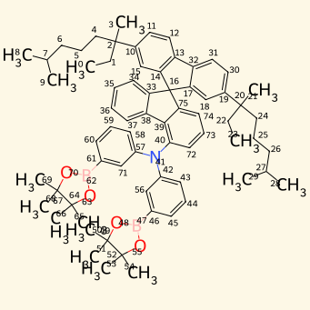 CCC(C)(CCCC(C)C)c1ccc2c(c1)C1(c3cc(C(C)(CC)CCCC(C)C)ccc3-2)c2ccccc2-c2c(N(c3cccc(B4OC(C)(C)C(C)(C)O4)c3)c3cccc(B4OC(C)(C)C(C)(C)O4)c3)cccc21